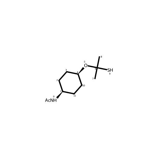 CC(=O)N[C@H]1CC[C@@H](OC(C)(C)S)CC1